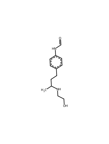 CC(CCc1ccc(NC=O)cc1)NCCO